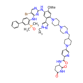 COc1cc(N2CCC(N3CCN(CC4CCN(c5ccc(C(=O)NC6CCC(=O)NC6=O)nc5)CC4)CC3)CC2)c(-c2cnn(C)c2)cc1Nc1ncc(Br)c(Nc2ccc(-c3ccccc3)cc2P(C)(C)=O)n1